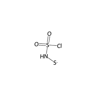 O=S(=O)(Cl)N[S]